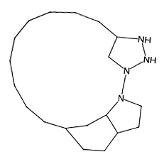 C1CCCCC2CCC3CCN(C3C2)N2CC(CCCC1)NN2